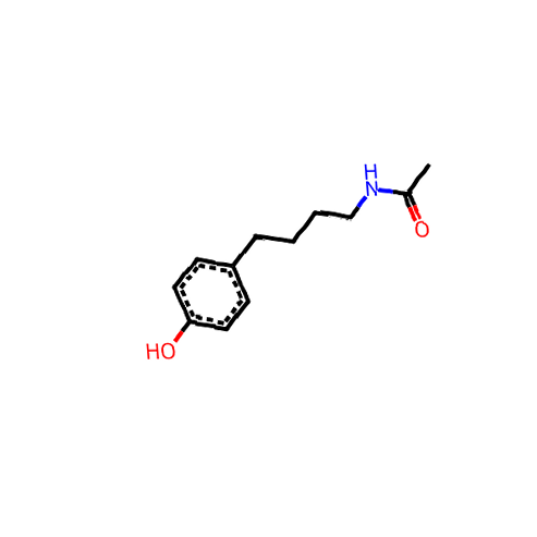 CC(=O)NCCCCc1ccc(O)cc1